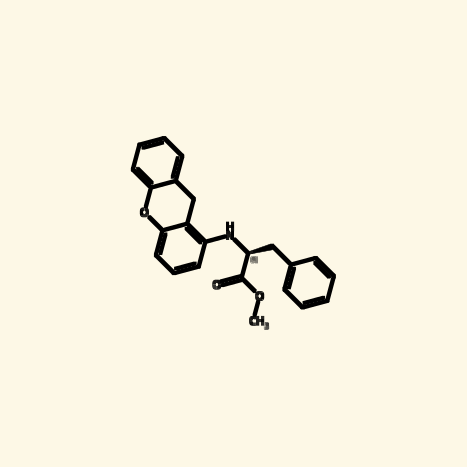 COC(=O)[C@H](Cc1ccccc1)Nc1cccc2c1Cc1ccccc1O2